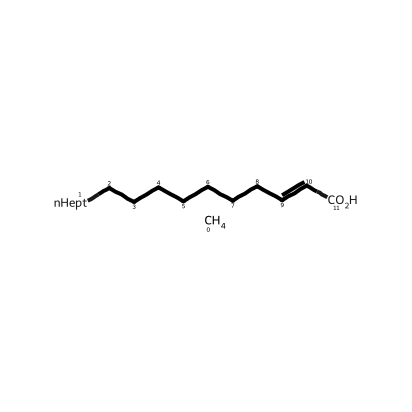 C.CCCCCCCCCCCCCCC=CC(=O)O